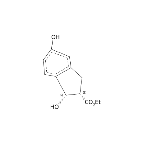 CCOC(=O)[C@H]1Cc2cc(O)ccc2[C@H]1O